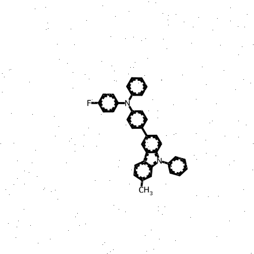 Cc1ccc2c3cc(-c4ccc(N(c5ccccc5)c5ccc(F)cc5)cc4)ccc3n(-c3ccccc3)c2c1